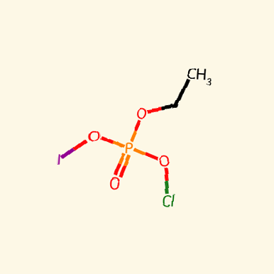 CCOP(=O)(OCl)OI